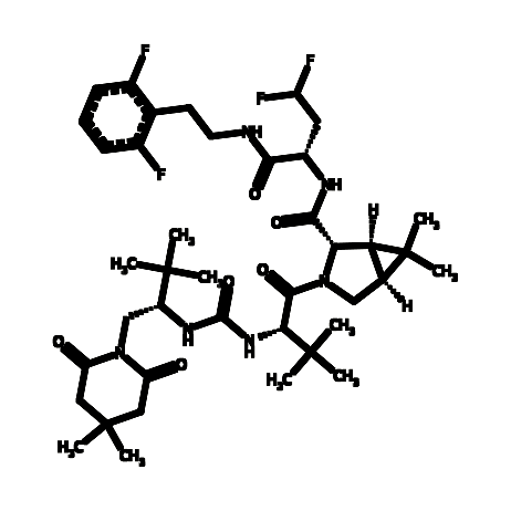 CC1(C)CC(=O)N(C[C@@H](NC(=O)N[C@H](C(=O)N2C[C@H]3[C@@H]([C@H]2C(=O)N[C@@H](CC(F)F)C(=O)NCCc2c(F)cccc2F)C3(C)C)C(C)(C)C)C(C)(C)C)C(=O)C1